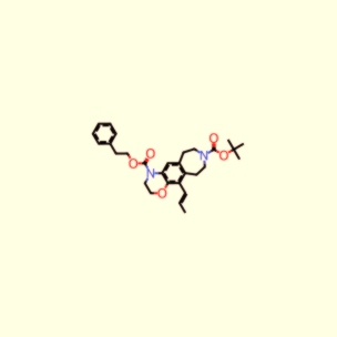 C/C=C/c1c2c(cc3c1OCCN3C(=O)OCCc1ccccc1)CCN(C(=O)OC(C)(C)C)CC2